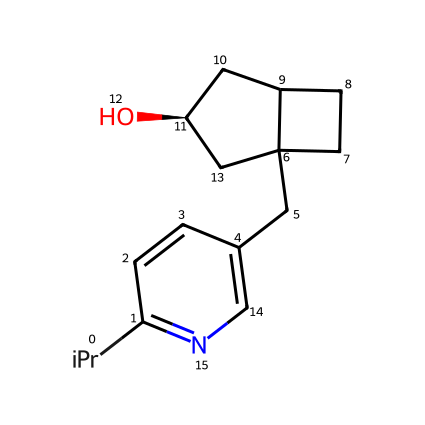 CC(C)c1ccc(CC23CCC2C[C@H](O)C3)cn1